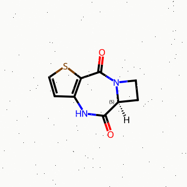 O=C1Nc2ccsc2C(=O)N2CC[C@@H]12